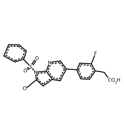 O=C(O)Cc1ccc(-c2cnc3c(c2)cc(Cl)n3S(=O)(=O)c2ccccc2)cc1F